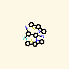 N#Cc1cc(-c2cc(-n3c4ccccc4c4ccc5c6ccccc6sc5c43)c(C#N)c(-n3c4ccccc4c4ccc5c6ccccc6sc5c43)c2)cc(C(F)(F)F)c1